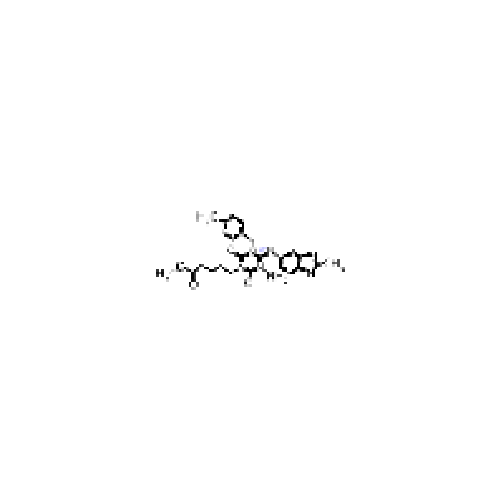 COC(=O)CCCCn1c(=O)n(N)/c(=N\c2ccc3nc(C)sc3c2)n(Cc2ccc(C)cc2)c1=O